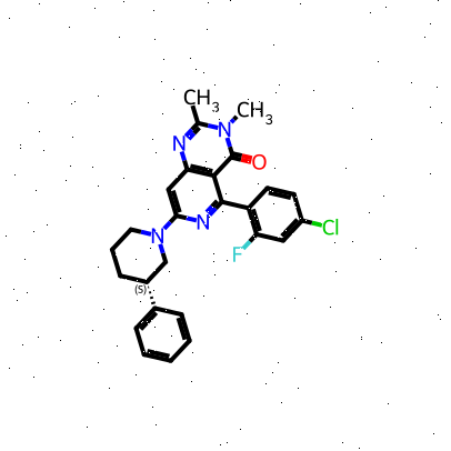 Cc1nc2cc(N3CCC[C@@H](c4ccccc4)C3)nc(-c3ccc(Cl)cc3F)c2c(=O)n1C